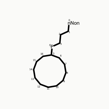 CCCCCCCCCCCC[P]C1CCCCCCCCCCC1